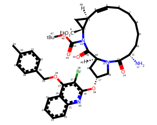 CCOC(=O)[C@@]12C[C@H]1/C=C\CCCCC[C@H](N)C(=O)N1C[C@H](Oc3nc4ccccc4c(OCc4ccc(C)cc4)c3Br)C[C@H]1C(=O)N2C(=O)OC(C)(C)C